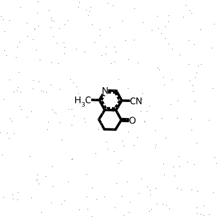 Cc1ncc(C#N)c2c1CCCC2=O